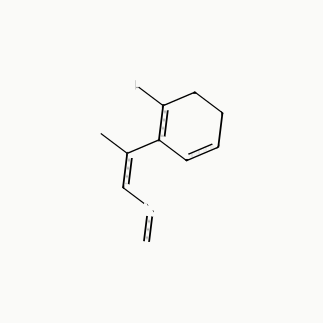 C=N/C=C(/C)C1=C(I)CCC=C1